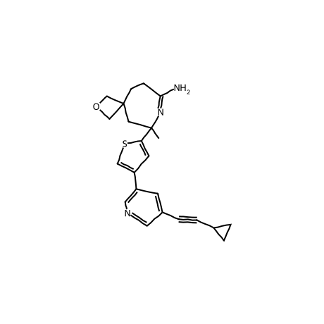 CC1(c2cc(-c3cncc(C#CC4CC4)c3)cs2)CC2(CCC(N)=N1)COC2